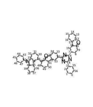 c1ccc(-c2nc(-c3ccc4oc5ccccc5c4c3)nc(-c3ccc4oc5c(-c6cccc7c6c6ccccc6n7-c6ccccc6)cccc5c4c3)n2)cc1